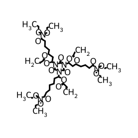 C=CC(=O)OC(CCCCCC(=O)N(OCC)OCC)n1c(=O)n(C(CCCCCC(=O)N(OCC)OCC)OC(=O)C=C)c(=O)n(C(CCCCCC(=O)N(OCC)OCC)OC(=O)C=C)c1=O